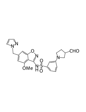 COc1cc(Cn2cccn2)cc2onc(NS(=O)(=O)c3cccc(N4CCC(C=O)C4)c3)c12